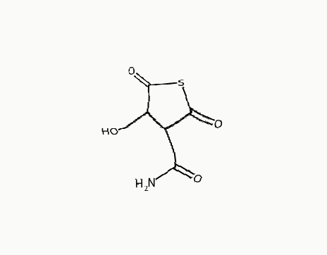 NC(=O)C1C(=O)SC(=O)C1O